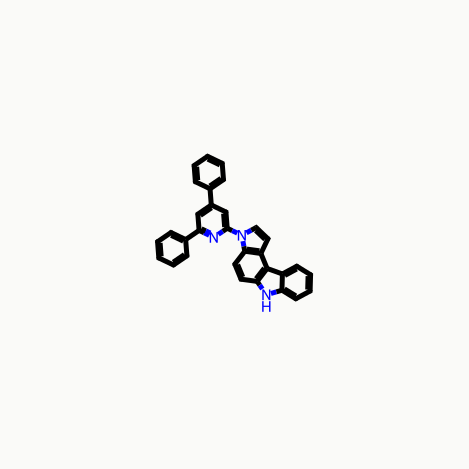 c1ccc(-c2cc(-c3ccccc3)nc(-n3ccc4c5c(ccc43)[nH]c3ccccc35)c2)cc1